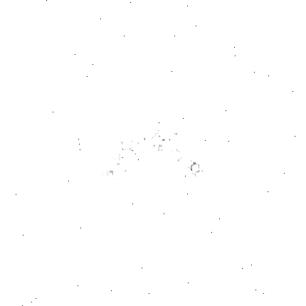 C[C@@H](NC(=O)Cn1cnnn1)[C@H]1C(=O)N2C(C(=O)O)=C(S[C@@H]3CN[C@H](C(=O)N4CC5(CCNC5)C4)C3)[C@H](C)[C@H]12